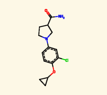 NC(=O)C1CCN(c2ccc(OC3CC3)c(Cl)c2)C1